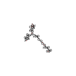 C=C1CC2C=Nc3cc(OCc4cc(C#CCNC(=O)CCOCCOCCOCCOCCNC(=O)CCN5C(=O)C=CC5=O)cc(COc5cc6c(cc5OC)C(=O)N5CC(=C)C[C@H]5C=N6)c4)c(OC)cc3C(=O)N2C1